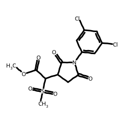 COC(=O)C(C1CC(=O)N(c2cc(Cl)cc(Cl)c2)C1=O)S(C)(=O)=O